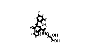 C=C(NOC[C@H](O)CO)c1c(Nc2ccc(I)cc2F)c(Cl)c(=O)n2c1CCC2